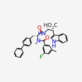 Cc1cc(F)cc(C(=O)N(C)[C@H](Cc2ccc(-c3ccccc3)cc2)C(=O)N[C@@H](Cc2c[nH]c3ccccc23)C(=O)O)c1